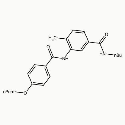 CCCCCOc1ccc(C(=O)Nc2cc(C(=O)NCCCC)ccc2C)cc1